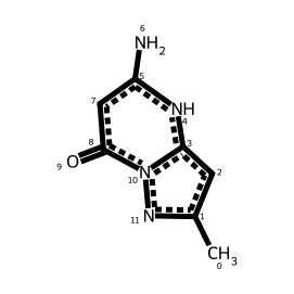 Cc1cc2[nH]c(N)cc(=O)n2n1